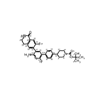 CC(C)(C)OC(=O)N1CCC(c2ccc(-c3cc(-c4cc5c(cc4F)C(=O)NCC5)c(N)nc3F)cc2)CC1